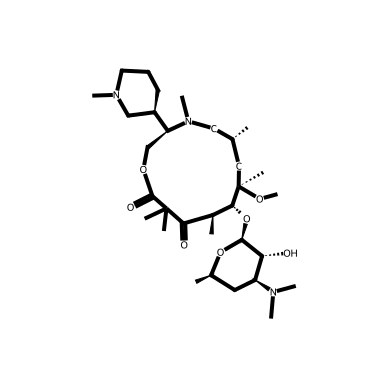 CO[C@]1(C)C[C@@H](C)CN(C)[C@H]([C@@H]2CCCN(C)C2)COC(=O)C(C)(C)C(=O)[C@H](C)[C@H]1O[C@@H]1O[C@H](C)C[C@H](N(C)C)[C@H]1O